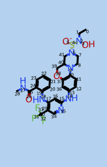 CCN(O)[S+]([O-])N1CCN2c3ccc(Nc4cc(Nc5ccccc5C(=O)NC)c(C(F)(F)F)cn4)cc3OCC2C1